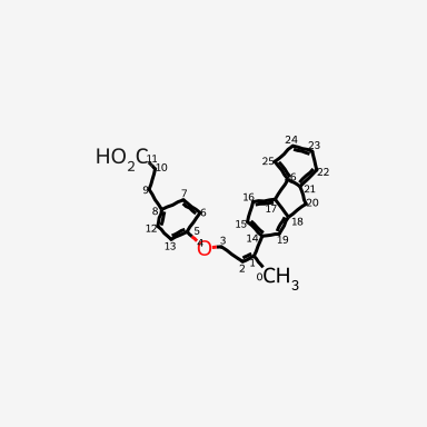 C/C(=C/COc1ccc(CCC(=O)O)cc1)c1ccc2c(c1)Cc1ccccc1-2